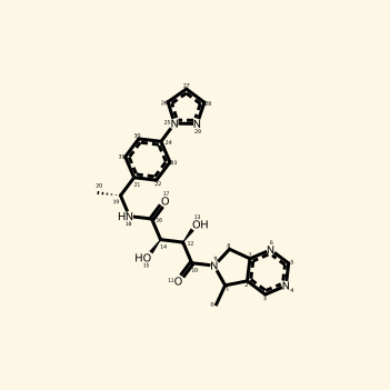 CC1c2cncnc2CN1C(=O)[C@H](O)[C@@H](O)C(=O)N[C@H](C)c1ccc(-n2cccn2)cc1